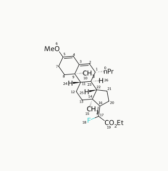 CCC[C@H]1C=C2C=C(OC)CC[C@]2(C)[C@H]2CC[C@]3(C)C(=C(F)C(=O)OCC)CC[C@H]3[C@H]12